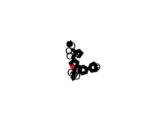 CCS(=O)(=O)n1c2c(c3cc(C(=O)N4CCCC4C(=O)OC(C)(C)C)ccc31)CC(C1CCOCC1)CC2